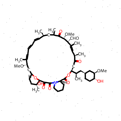 CO[C@H]1C[C@@H]2CC[C@@H](C)[C@@](O)(O2)C(=O)C(=O)N2CCCC[C@H]2C(=O)O[C@H]([C@H](C)C[C@@H]2CC[C@@H](O)[C@H](OC)C2)CC(=O)[C@H](C)/C=C(\C)[C@@H](C=O)[C@@H](OC)C(=O)C(C)C[C@H](C)/C=C/C=C/C=C/1C